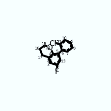 Fc1cc2c(c(-c3ccccc3Cl)c1)O[CH]CC2